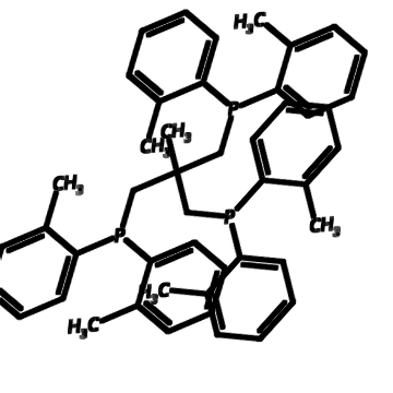 Cc1ccccc1P(CC(C)(CP(c1ccccc1C)c1ccccc1C)CP(c1ccccc1C)c1ccccc1C)c1ccccc1C